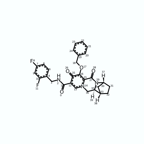 O=C(NCc1ccc(F)cc1F)c1cn2c(c(OCc3ccccc3)c1=O)C(=O)N1[C@@H]3CC[C@@H](C3)[C@H]1C2